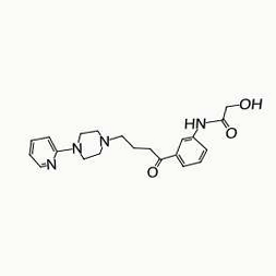 O=C(CO)Nc1cccc(C(=O)CCCN2CCN(c3ccccn3)CC2)c1